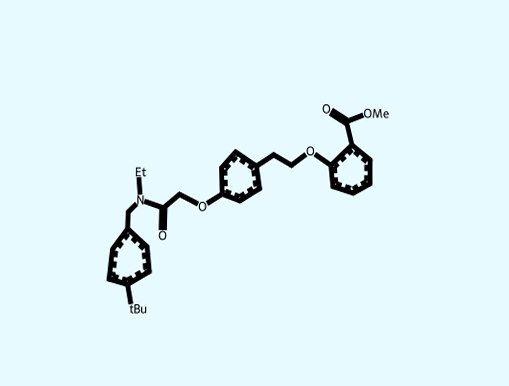 CCN(Cc1ccc(C(C)(C)C)cc1)C(=O)COc1ccc(CCOc2ccccc2C(=O)OC)cc1